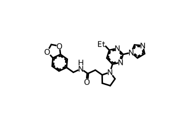 CCc1cc(N2CCCC2CC(=O)NCc2ccc3c(c2)OCO3)nc(-n2ccnc2)n1